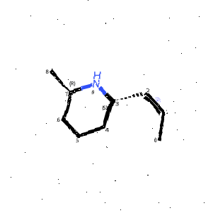 C/C=C\[C@@H]1CCC[C@@H](C)N1